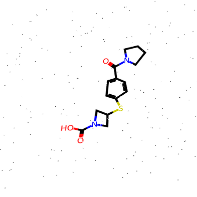 O=C(O)N1CC(Sc2ccc(C(=O)N3CCCC3)cc2)C1